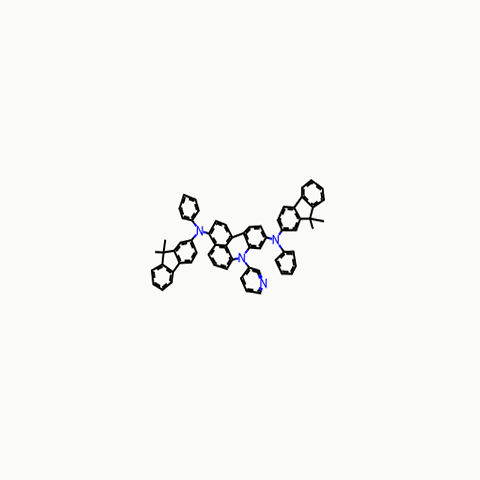 CC1(C)c2ccccc2-c2ccc(N(c3ccccc3)c3ccc4c(c3)N(c3cccnc3)c3cccc5c(N(c6ccccc6)c6ccc7c(c6)C(C)(C)c6ccccc6-7)ccc-4c35)cc21